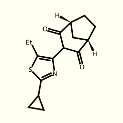 CCc1sc(C2CC2)nc1C1C(=O)[C@@H]2CC[C@@H](C2)C1=O